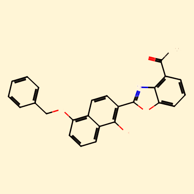 COC(=O)c1cccc2oc(-c3ccc4c(OCc5ccccc5)cccc4c3O)nc12